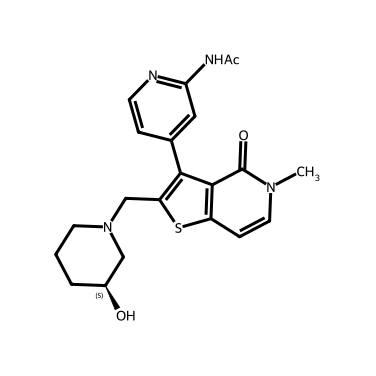 CC(=O)Nc1cc(-c2c(CN3CCC[C@H](O)C3)sc3ccn(C)c(=O)c23)ccn1